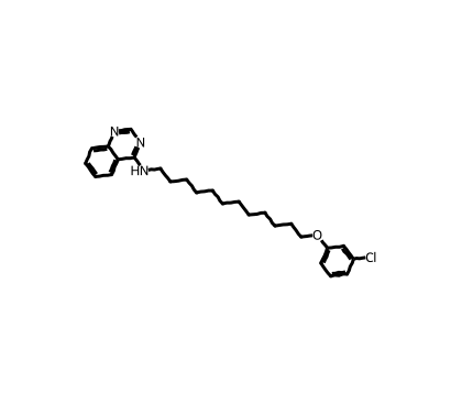 Clc1cccc(OCCCCCCCCCCCCNc2ncnc3ccccc23)c1